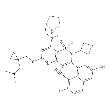 C#Cc1c(F)ccc2cc(O)cc(C3=C(F)c4nc(OCC5(CN(C)C)CC5)nc(N5CC6CCC(C5)N6)c4S(=O)(=O)N3C3COC3)c12